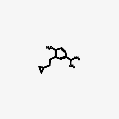 Cc1ccc(C(C)N)cc1CCC1CC1